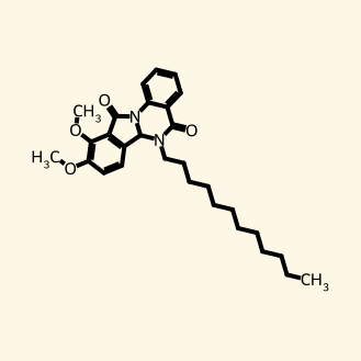 CCCCCCCCCCCCN1C(=O)c2ccccc2N2C(=O)c3c(ccc(OC)c3OC)C12